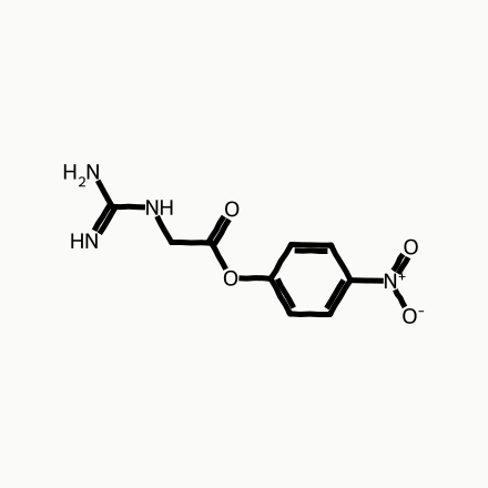 N=C(N)NCC(=O)Oc1ccc([N+](=O)[O-])cc1